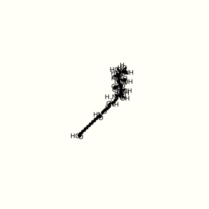 CN[C@@H](CO)C(=O)N[C@@H](CO)C(=O)N[C@@H](CO)C(=O)N[C@@H](CCC(=O)O)C(=O)N[C@@H](CCC(=O)O)C(=O)N[C@@H](CO)C(=O)N[C@@H](CO)C(=O)N[C@@H](CCCCNC(=O)COCCOCCNC(=O)CCCCCCCCCCCCCCCC(=O)O)C(N)=O